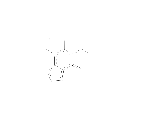 Cn1c(=O)n(CC(=O)O)c(=O)c2[nH]cnc21.O